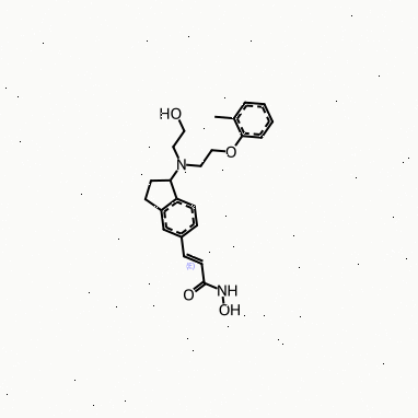 Cc1ccccc1OCCN(CCO)C1CCc2cc(/C=C/C(=O)NO)ccc21